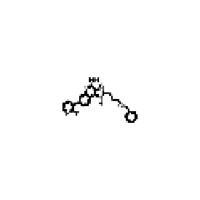 Nc1nc2cc(-c3cccnc3F)ccc2c2[nH]c(CCCOCc3ccccc3)nc12